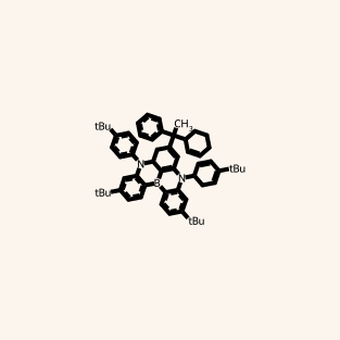 CC(C)(C)C1=CCC(N2C3=C4B(c5ccc(C(C)(C)C)cc52)c2ccc(C(C)(C)C)cc2N(c2ccc(C(C)(C)C)cc2)C4CC(C(C)(c2ccccc2)C2C=CCCC2)=C3)C=C1